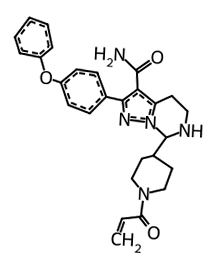 C=CC(=O)N1CCC(C2NCCc3c(C(N)=O)c(-c4ccc(Oc5ccccc5)cc4)nn32)CC1